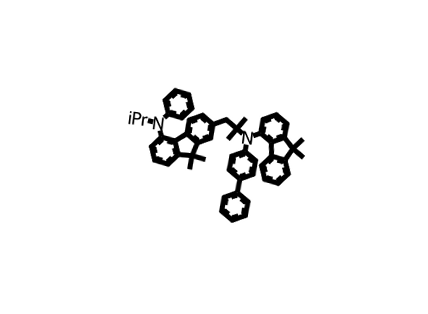 CC(C)N(c1ccccc1)c1cccc2c1-c1ccc(CC(C)(C)N(c3ccc(-c4ccccc4)cc3)c3cccc4c3-c3ccccc3C4(C)C)cc1C2(C)C